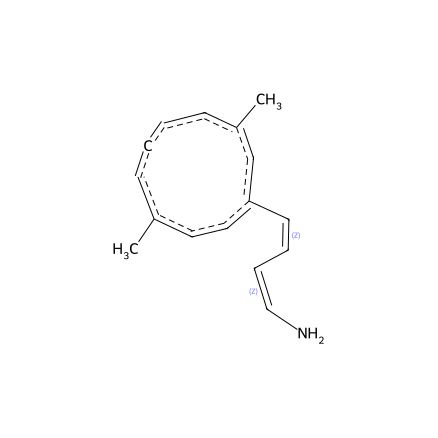 Cc1ccccc(C)cc(/C=C\C=C/N)cc1